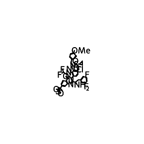 COc1ccc(CN(c2nn(CC(F)F)c3c(-n4c(C(N)Cc5cc(F)cc(F)c5)nc5cc(C(C)(C)S(C)(=O)=O)ccc5c4=O)ccc(Cl)c23)S(=O)(=O)C2CC2)cc1